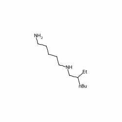 CCCCC(CC)CNCCCCCN